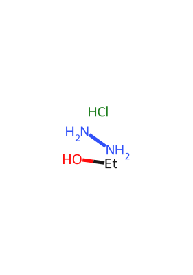 CCO.Cl.NN